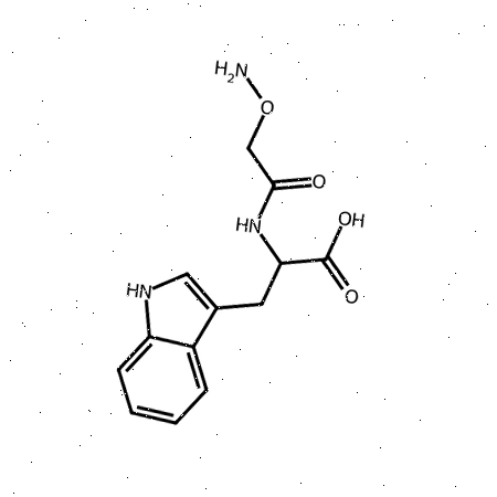 NOCC(=O)NC(Cc1c[nH]c2ccccc12)C(=O)O